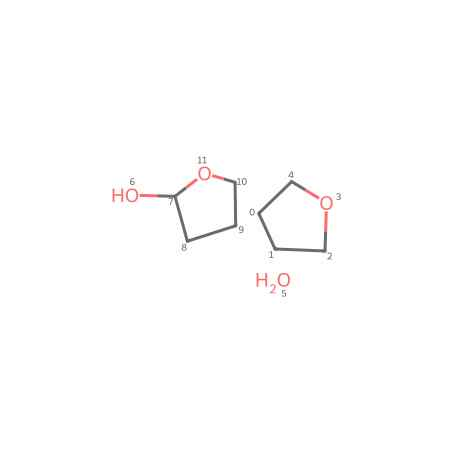 C1CCOC1.O.OC1CCCO1